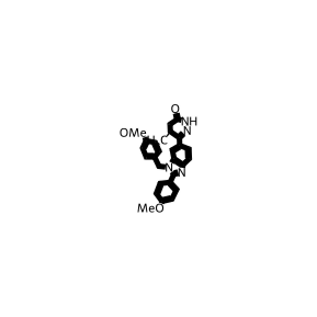 COc1ccc(Cn2c(-c3ccc(OC)cc3)nc3ccc(C4=NNC(=O)C[C@H]4C)cc32)cc1